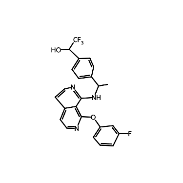 CC(Nc1nccc2ccnc(Oc3cccc(F)c3)c12)c1ccc(C(O)C(F)(F)F)cc1